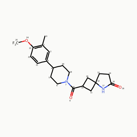 Cc1cc(C2CCN(C(=O)C3CC4(CCC(=O)N4)C3)CC2)ccc1OC(F)(F)F